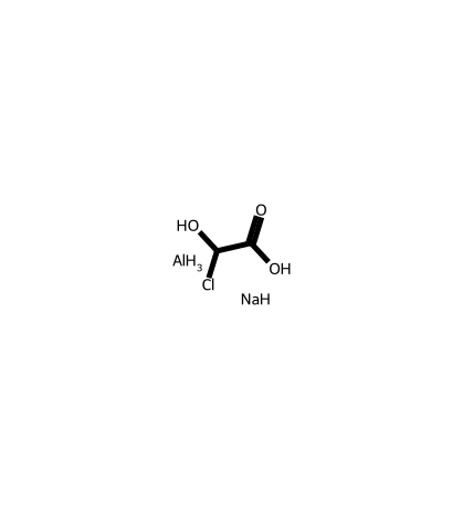 O=C(O)C(O)Cl.[AlH3].[NaH]